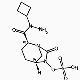 NN(C(=O)[C@@H]1CC[C@@H]2CN1C(=O)N2OS(=O)(=O)O)C1CCC1